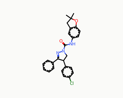 CC1(C)Cc2cc(NC(=O)N3CC(c4ccc(Cl)cc4)C(c4ccccc4)=N3)ccc2O1